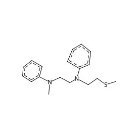 CSCCN(CCN(C)c1ccccc1)c1ccccc1